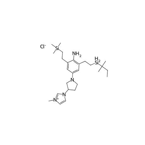 CCC(C)(C)[SiH2]CCc1cc(N2CCC(n3cc[n+](C)c3)C2)cc(CC[Si](C)(C)C)c1N.[Cl-]